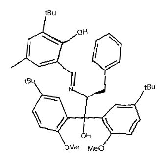 COc1ccc(C(C)(C)C)cc1C(O)(c1cc(C(C)(C)C)ccc1OC)[C@H](Cc1ccccc1)N=Cc1cc(C)cc(C(C)(C)C)c1O